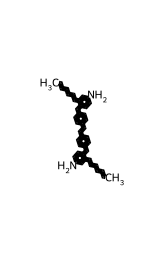 CCCCCCCc1cc(N)ccc1Cc1ccc(CCc2ccc(Cc3ccc(N)cc3CCCCCCC)cc2)cc1